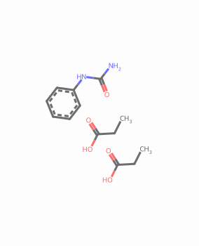 CCC(=O)O.CCC(=O)O.NC(=O)Nc1ccccc1